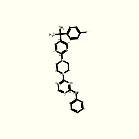 CC(N)(c1ccc(F)cc1)c1cnc(N2CCN(c3ncnc(Nc4ccccc4)n3)CC2)nc1